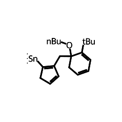 CCCCOC1(CC2=[C]([Sn])CC=C2)CC=CC=C1C(C)(C)C